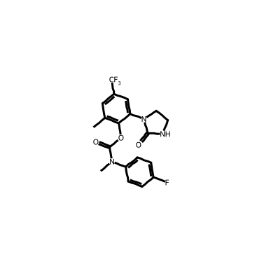 Cc1cc(C(F)(F)F)cc(N2CCNC2=O)c1OC(=O)N(C)c1ccc(F)cc1